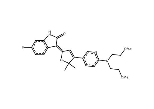 COCCN(CCOC)c1ccc(C2=C/C(=C3\C(=O)Nc4cc(F)ccc43)OC2(C)C)cn1